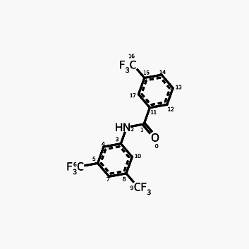 O=C(Nc1cc(C(F)(F)F)cc(C(F)(F)F)c1)c1cccc(C(F)(F)F)c1